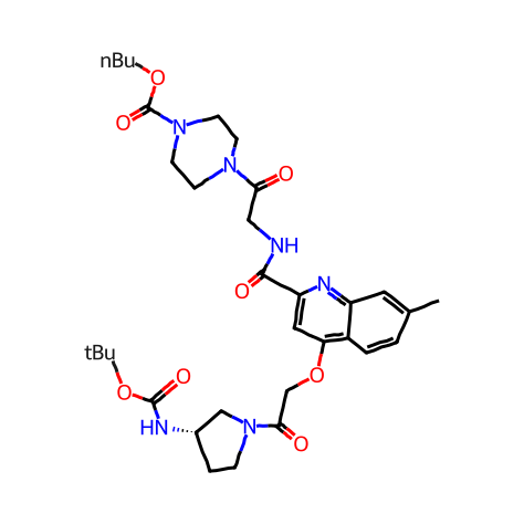 CCCCOC(=O)N1CCN(C(=O)CNC(=O)c2cc(OCC(=O)N3CC[C@H](NC(=O)OC(C)(C)C)C3)c3ccc(C)cc3n2)CC1